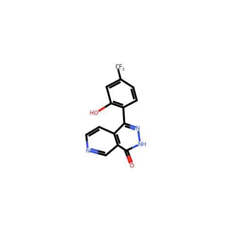 O=c1[nH]nc(-c2ccc(C(F)(F)F)cc2O)c2ccncc12